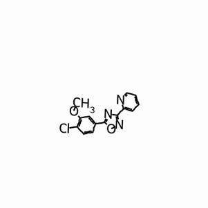 COc1cc(-c2nc(-c3ccccn3)no2)ccc1Cl